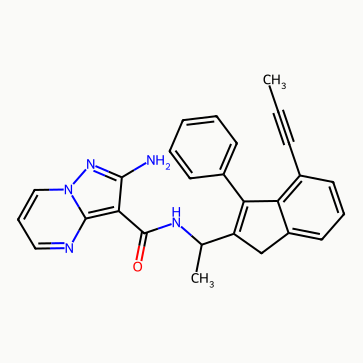 CC#Cc1cccc2c1C(c1ccccc1)=C(C(C)NC(=O)c1c(N)nn3cccnc13)C2